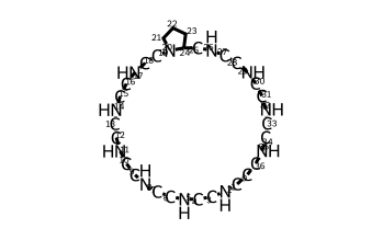 C1CNCCNCCNCCNCCNCCNCCN2CCCC2CNCCNCCNCCNC1